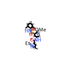 CCn1nc(C)cc1C(=O)Nc1cnc(OC)c(S(=O)(=O)Nc2c(C)cccc2C)c1